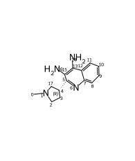 CN1CC[C@@H](c2nc3ccccc3c(N)c2N)C1